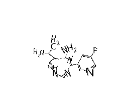 CC(N)c1cn[nH]cnc(-c2cncc(F)c2)nc1N